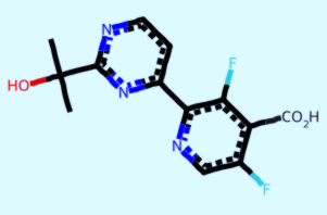 CC(C)(O)c1nccc(-c2ncc(F)c(C(=O)O)c2F)n1